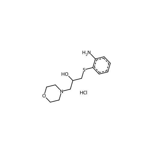 Cl.Nc1ccccc1SCC(O)CN1CCOCC1